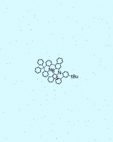 CC(C)(C)c1ccc(N2c3cc4ccccc4c4c3B(c3c2sc2ccccc32)N2c3ccccc3C(c3ccccc3)(c3ccccc3)c3cccc-4c32)c(-c2ccccc2)c1